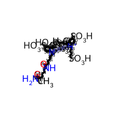 C[C@@H](CCCCNC(=O)CCCCCN1/C(=C/C=C/C=C/C2=[N+](CCCCS(=O)(=O)O)c3ccc(S(=O)(=O)O)cc3C2(C)CCCCS(=O)(=O)O)C(C)(C)c2cc(S(=O)(=O)O)ccc21)C(N)=O